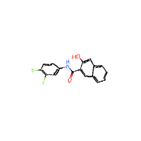 O=C(Nc1ccc(F)c(F)c1)c1cc2ccccc2cc1O